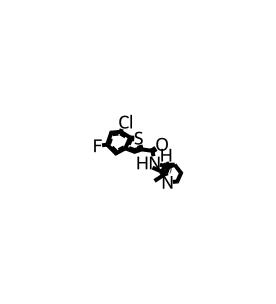 CC1(C)[C@H](NC(=O)c2cc3cc(F)cc(Cl)c3s2)C2CCN1CC2